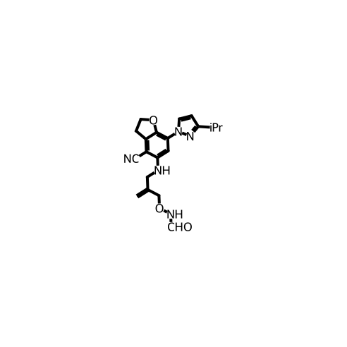 C=C(CNc1cc(-n2ccc(C(C)C)n2)c2c(c1C#N)CCO2)CONC=O